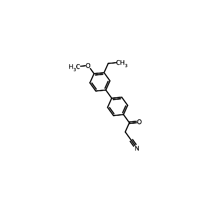 CCc1cc(-c2ccc(C(=O)CC#N)cc2)ccc1OC